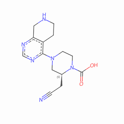 N#CC[C@H]1CN(c2ncnc3c2CCNC3)CCN1C(=O)O